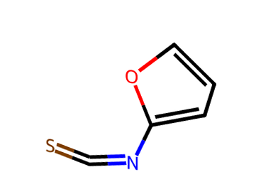 S=C=Nc1ccco1